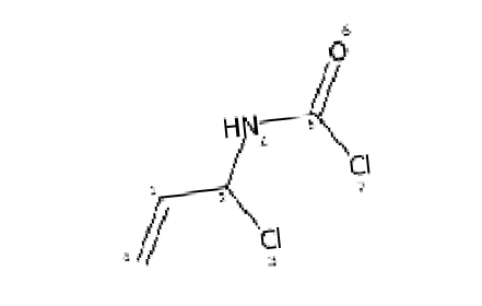 C=CC(Cl)NC(=O)Cl